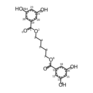 O=C(OCCCCCOC(=O)c1cc(O)cc(O)c1)c1cc(O)cc(O)c1